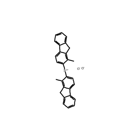 Cc1[c]([Zr+2][c]2ccc3c(c2C)Cc2ccccc2-3)ccc2c1Cc1ccccc1-2.[Cl-].[Cl-]